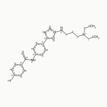 CCN(CC)CCCNc1nnc(-c2ccc(NC(=O)c3ccc(F)cc3)cc2)o1